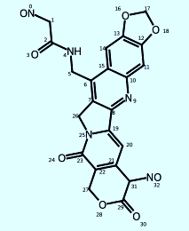 O=NCC(=O)NCc1c2c(nc3cc4c(cc13)OCO4)-c1cc3c(c(=O)n1C2)COC(=O)C3N=O